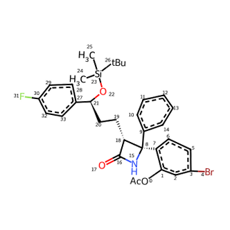 CC(=O)Oc1cc(Br)ccc1[C@]1(c2ccccc2)NC(=O)[C@@H]1CC[C@H](O[Si](C)(C)C(C)(C)C)c1ccc(F)cc1